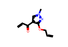 C=CCOc1nn(C)cc1C(=O)C=C